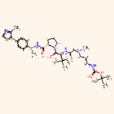 Cc1ncsc1-c1ccc([C@H](C)NC(=O)[C@@H]2CCCN2C(=O)[C@@H](NC(=O)CN(C)CCCNC(=O)OC(C)(C)C)C(C)(C)C)cc1